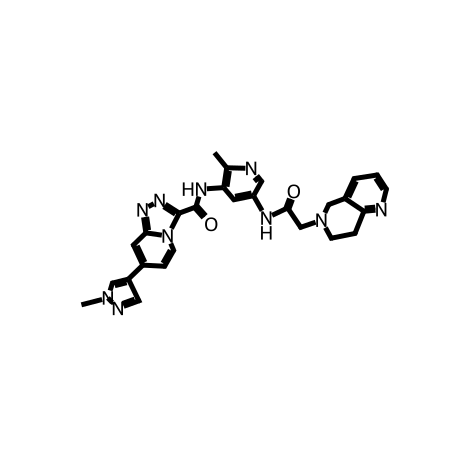 Cc1ncc(NC(=O)CN2CCc3ncccc3C2)cc1NC(=O)c1nnc2cc(-c3cnn(C)c3)ccn12